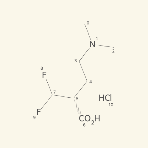 CN(C)CC[C@H](C(=O)O)C(F)F.Cl